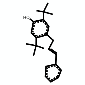 CC(C)(C)c1cc(CC=Cc2ccccc2)c(C(C)(C)C)cc1O